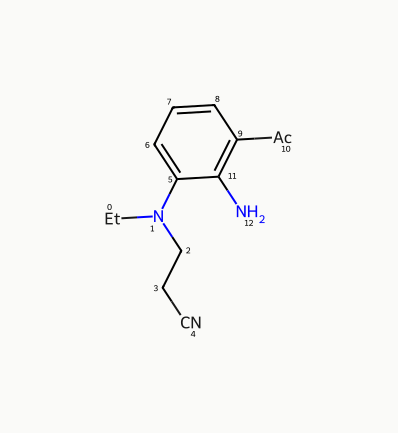 CCN(CCC#N)c1cccc(C(C)=O)c1N